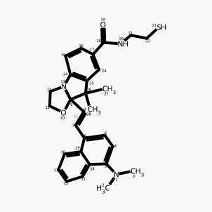 CN(C)c1ccc(/C=C/C23OCCN2c2ccc(C(=O)NCCS)cc2C3(C)C)c2ccccc12